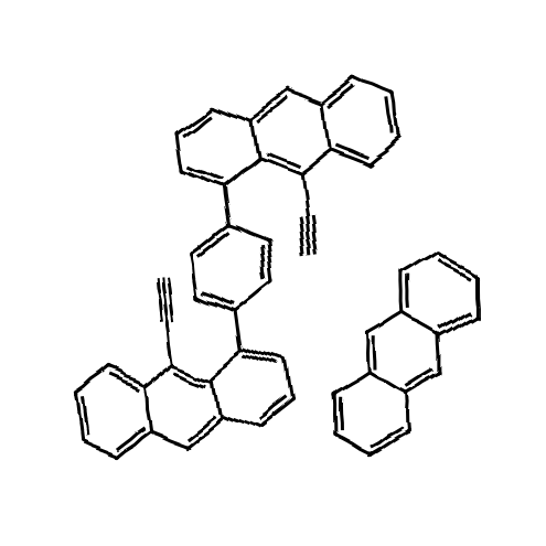 C#Cc1c2ccccc2cc2cccc(-c3ccc(-c4cccc5cc6ccccc6c(C#C)c45)cc3)c12.c1ccc2cc3ccccc3cc2c1